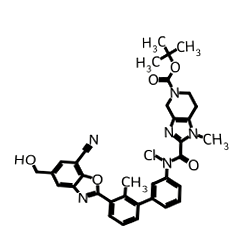 Cc1c(-c2cccc(N(Cl)C(=O)c3nc4c(n3C)CCN(C(=O)OC(C)(C)C)C4)c2)cccc1-c1nc2cc(CO)cc(C#N)c2o1